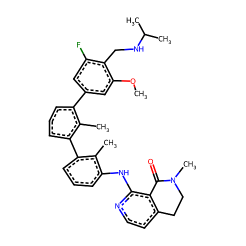 COc1cc(-c2cccc(-c3cccc(Nc4nccc5c4C(=O)N(C)CC5)c3C)c2C)cc(F)c1CNC(C)C